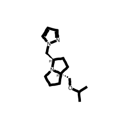 CC(C)OC[C@]12CCCN1[C@@H](Cn1cccn1)CC2